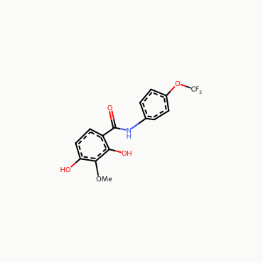 COc1c(O)ccc(C(=O)Nc2ccc(OC(F)(F)F)cc2)c1O